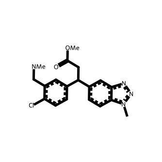 CNCc1cc(C(CC(=O)OC)c2ccc3c(c2)nnn3C)ccc1Cl